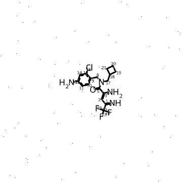 N=C(/C=C(\N)C(=O)N(Cc1ccc(N)cc1Cl)CC1CCC1)C(F)(F)F